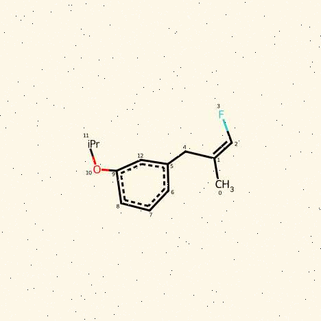 C/C(=C/F)Cc1cccc(OC(C)C)c1